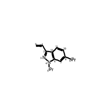 C=Cc1nn(C(C)C)c2cc(C(C)C)ccc12